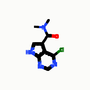 CN(C)C(=O)c1c[nH]c2ncnc(Cl)c12